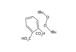 CC(C)(C)OOC(C)(C)C.O=C(O)c1ccccc1C(=O)O